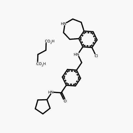 O=C(NC1CCCC1)c1ccc(CNc2c(Cl)ccc3c2CCNCC3)cc1.O=C(O)CCC(=O)O